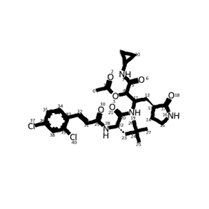 CC(=O)OC(C(=O)NC1CC1)C(C[C@@H]1CCNC1=O)NC(=O)[C@H](CC(C)(C)C)NC(=O)/C=C/c1ccc(Cl)cc1Cl